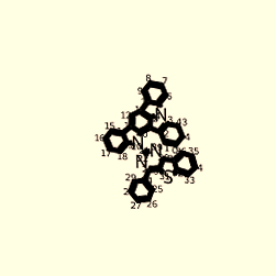 C1=Cc2c(n3c4ccccc4c4cc5c6ccccc6n(-c6nc(-c7ccccc7)c7sc8ccccc8c7n6)c5c2c43)CC1